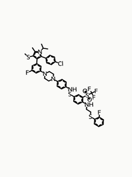 CSc1c(-c2cc(F)cc(N3CCN(c4ccc(NSc5ccc(NCCSc6ccccc6F)c(S(=O)(=O)C(F)(F)F)c5)cc4)CC3)c2)c(-c2ccc(Cl)cc2)n(C(C)C)c1C